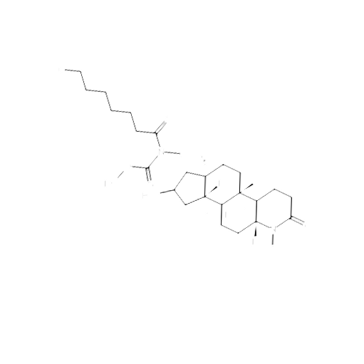 CCCCCCCC(=O)N(C[C@H]1C(C)C[C@H]2[C@@H]3CC[C@H]4N(C)C(=O)CC[C@]4(C)[C@H]3CC[C@]12C)C(=O)OC